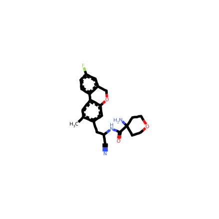 Cc1cc2c(cc1CC(C#N)NC(=O)C1(N)CCOCC1)OCc1cc(F)ccc1-2